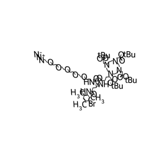 Cc1cc(C)c(NC(=O)CC[C@H](NC(=O)CCC(C(=O)OC(C)(C)C)N2CCN(CC(=O)OC(C)(C)C)CCN(CC(=O)OC(C)(C)C)CCN(CC(=O)OC(C)(C)C)CC2)C(=O)NCCOCCOCCOCCOCCOCCN=[N+]=[N-])c(C)c1Br